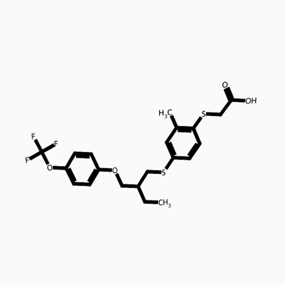 CCC(COc1ccc(OC(F)(F)F)cc1)CSc1ccc(SCC(=O)O)c(C)c1